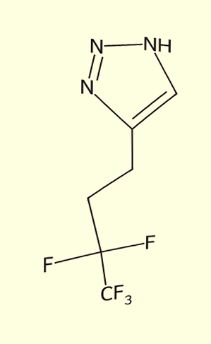 FC(F)(F)C(F)(F)CCc1c[nH]nn1